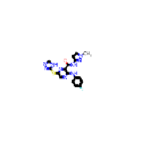 Cn1ccc(NC(=O)c2nc(Sc3nnc[nH]3)cnc2Nc2ccc(F)cc2)n1